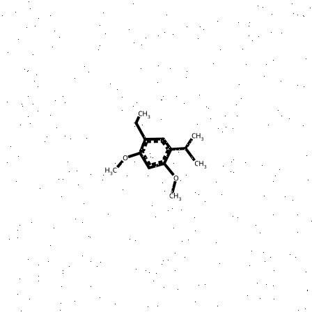 C[CH]c1cc(C(C)C)c(OC)cc1OC